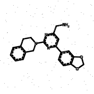 NCc1cc(-c2ccc3c(c2)OCO3)nc(N2CCc3ccccc3C2)n1